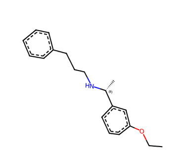 CCOc1cccc([C@@H](C)NCCCc2ccccc2)c1